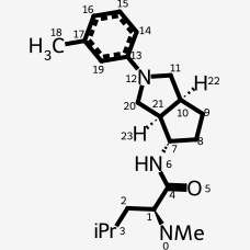 CN[C@@H](CC(C)C)C(=O)N[C@H]1CC[C@@H]2CN(c3cccc(C)c3)C[C@@H]21